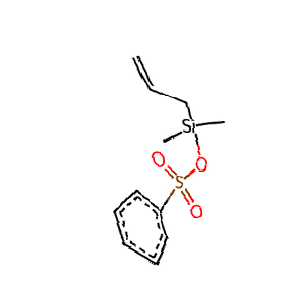 C=CC[Si](C)(C)OS(=O)(=O)c1ccccc1